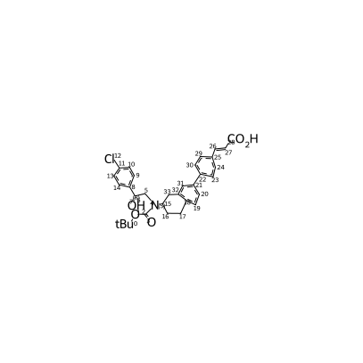 CC(C)(C)OC(=O)N(C[C@H](O)c1ccc(Cl)cc1)[C@H]1CCc2ccc(-c3ccc(C=CC(=O)O)cc3)cc2C1